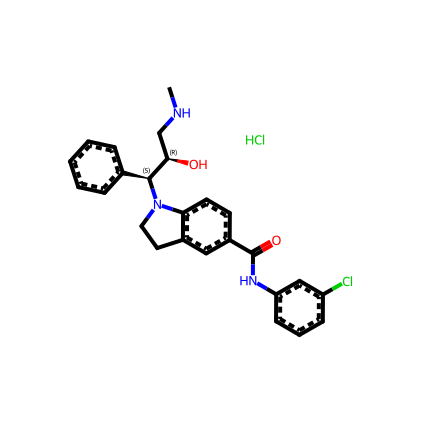 CNC[C@@H](O)[C@H](c1ccccc1)N1CCc2cc(C(=O)Nc3cccc(Cl)c3)ccc21.Cl